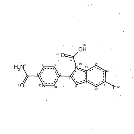 NC(=O)c1ccc(-c2cc3cc(F)ccc3n2C(=O)O)cn1